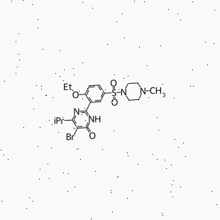 CCOc1ccc(S(=O)(=O)N2CCN(C)CC2)cc1-c1nc(C(C)C)c(Br)c(=O)[nH]1